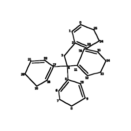 C1=CC(CC(C2=CCCC=C2)(C2=CCCC=C2)C2=CCCC=C2)=CCC1